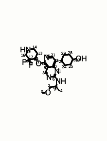 COC[C@H](C)Nc1ncc2c(O[C@@H]3CCNCC3(F)F)ncc([C@H]3CC[C@H](O)CC3)c2n1